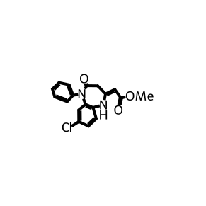 COC(=O)C=C1CC(=O)N(c2ccccc2)c2cc(Cl)ccc2N1